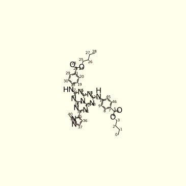 CCCCOC(=O)c1ccc(NC2=NC3=NC(Nc4ccc(C(=O)OCCCC)cc4)=NC4=NC(c5ccnn5C)=NC(=N2)N34)cc1